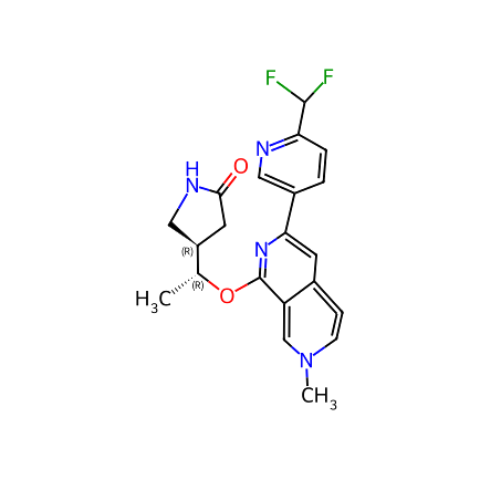 C[C@@H](Oc1nc(-c2ccc(C(F)F)nc2)cc2c1=CN(C)C=C=2)[C@H]1CNC(=O)C1